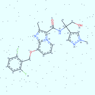 Cc1nc2c(OCc3c(F)cccc3F)cccn2c1C(=O)NC(C)(CO)c1cnn(C)c1